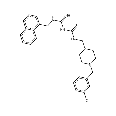 N=C(NCc1cccc2ccccc12)NC(=O)NCC1CCN(Cc2cccc(Cl)c2)CC1